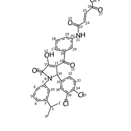 CC(C)c1cccc(N2C(=O)C(O)=C(C(=O)c3cccc(NC(=O)/C=C/C(=O)O)c3)C2c2ccc(Cl)c(Cl)c2)c1